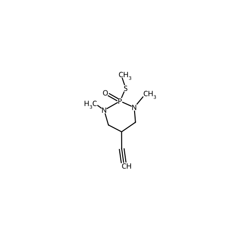 C#CC1CN(C)P(=O)(SC)N(C)C1